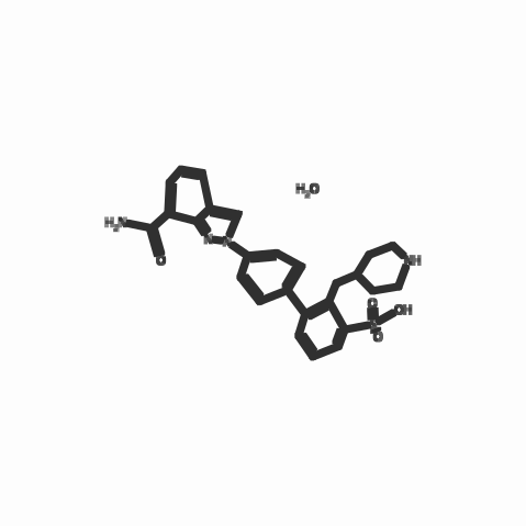 NC(=O)c1cccc2cn(-c3ccc(-c4cccc(S(=O)(=O)O)c4CC4CCNCC4)cc3)nc12.O